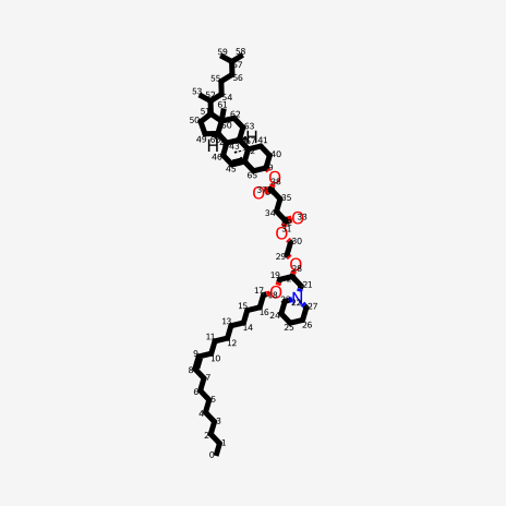 CCCCCCCC/C=C\CCCCCCCCOCC(CN1CCCCC1)OCCOC(=O)CCC(=O)OC1CC[C@@]2(C)C(=CCC3[C@@H]4CCC(C(C)CCCC(C)C)C4(C)CC[C@@H]32)C1